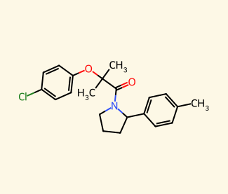 Cc1ccc(C2CCCN2C(=O)C(C)(C)Oc2ccc(Cl)cc2)cc1